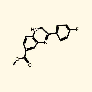 COC(=O)c1ccc2c(c1)N=C(c1ccc(F)cc1)CN2